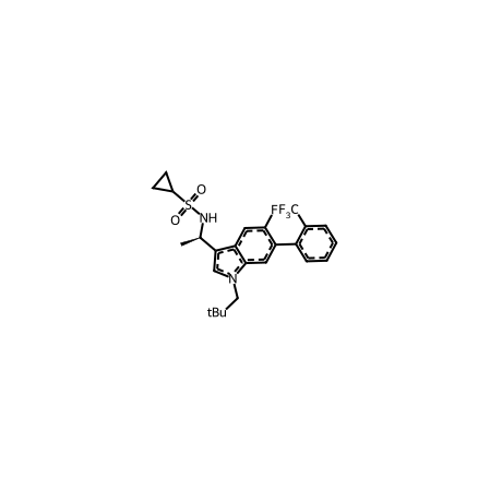 C[C@@H](NS(=O)(=O)C1CC1)c1cn(CC(C)(C)C)c2cc(-c3ccccc3C(F)(F)F)c(F)cc12